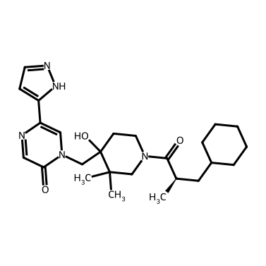 C[C@H](CC1CCCCC1)C(=O)N1CCC(O)(Cn2cc(-c3ccn[nH]3)ncc2=O)C(C)(C)C1